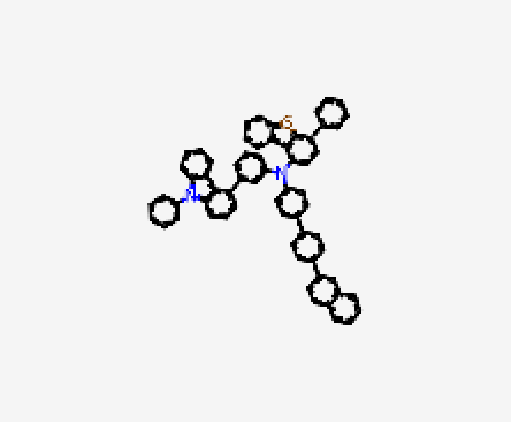 c1ccc(-c2ccc(N(c3ccc(-c4ccc(-c5ccc6ccccc6c5)cc4)cc3)c3cccc(-c4cccc5c4c4ccccc4n5-c4ccccc4)c3)c3c2sc2ccccc23)cc1